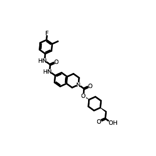 Cc1cc(NC(=O)Nc2ccc3c(c2)CCN(C(=O)O[C@H]2CC[C@H](CC(=O)O)CC2)C3)ccc1F